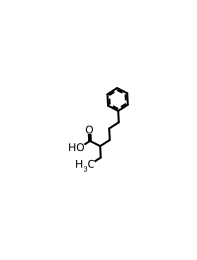 CCC(CCCc1ccccc1)C(=O)O